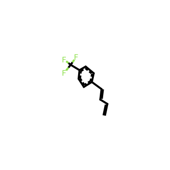 C=CC=Cc1ccc(C(F)(F)F)cc1